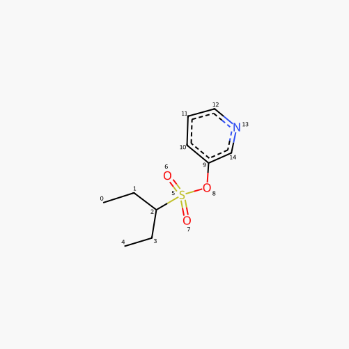 CCC(CC)S(=O)(=O)Oc1cccnc1